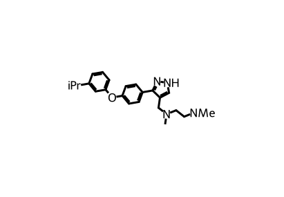 CNCCN(C)Cc1c[nH]nc1-c1ccc(Oc2cccc(C(C)C)c2)cc1